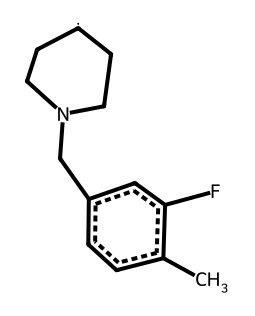 Cc1ccc(CN2CC[CH]CC2)cc1F